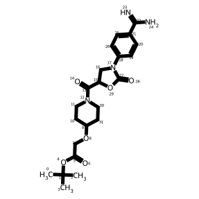 CC(C)(C)OC(=O)COC1CCN(C(=O)C2CN(c3ccc(C(=N)N)cc3)C(=O)O2)CC1